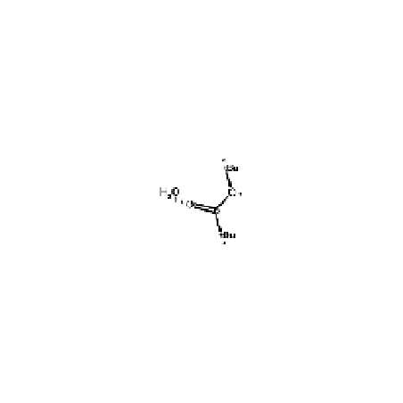 CC(C)(C)OC(=O)C(C)(C)C.O